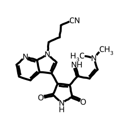 CN(C)/C=C\C(=N)C1=C(c2cn(CCCC#N)c3ncccc23)C(=O)NC1=O